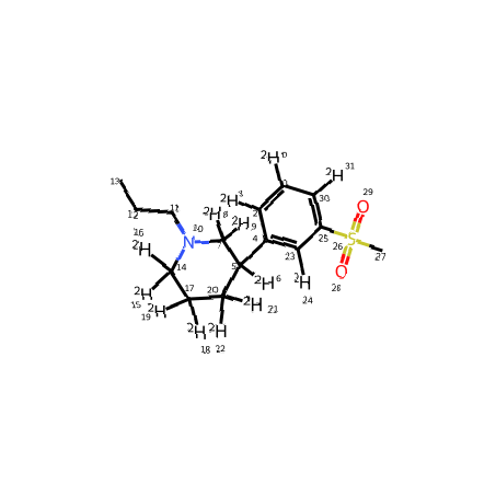 [2H]c1c([2H])c(C2([2H])C([2H])([2H])N(CCC)C([2H])([2H])C([2H])([2H])C2([2H])[2H])c([2H])c(S(C)(=O)=O)c1[2H]